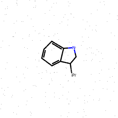 CC(C)C1C[N]c2ccccc21